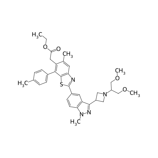 CCOC(=O)Cc1c(C)cc2nc(-c3ccc4c(c3)c(C3CN(C(COC)COC)C3)nn4C)sc2c1-c1ccc(C)cc1